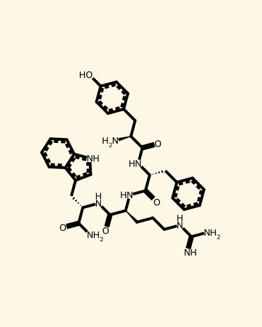 N=C(N)NCCC[C@H](NC(=O)[C@@H](Cc1ccccc1)NC(=O)[C@@H](N)Cc1ccc(O)cc1)C(=O)N[C@@H](Cc1c[nH]c2ccccc12)C(N)=O